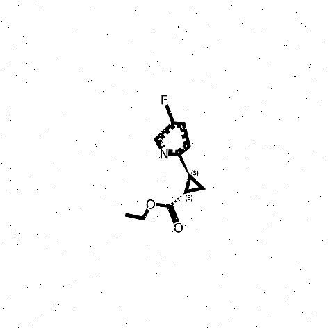 CCOC(=O)[C@H]1C[C@@H]1c1ccc(F)cn1